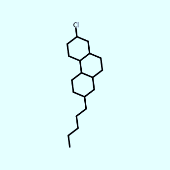 CCCCCC1CCC2C(CCC3CC(Cl)CCC32)C1